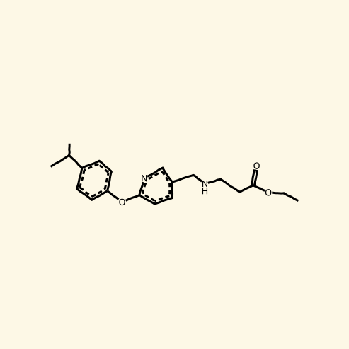 CCOC(=O)CCNCc1ccc(Oc2ccc(C(C)C)cc2)nc1